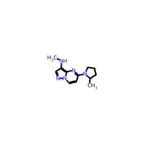 CNc1cnn2ccc(N3CCCC3C)nc12